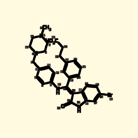 CN1CCN(Cc2ccc(N/C(=C3\C(=O)Nc4cc(Br)ccc43)c3cccc(CCC(=O)O)c3)cc2)CC1